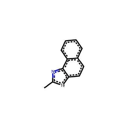 Cc1nc2c(ccc3ccccc32)[te]1